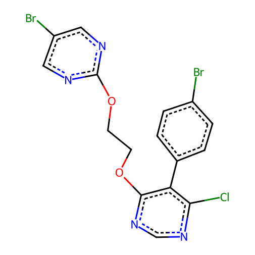 Clc1ncnc(OCCOc2ncc(Br)cn2)c1-c1ccc(Br)cc1